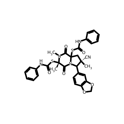 CN1C(=O)C2(SC(=O)Nc3ccccc3)C[C@](C)(C#N)C(c3ccc4c(c3)OCO4)N2C(=O)[C@]1(C)SC(=O)Nc1ccccc1